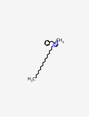 CCCCCCCCCCCCCCCCC[n+]1ccn(C)c1Cc1ccccc1